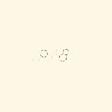 Cn1ccc2c(NC3CCc4c3ccnc4N)nccc21